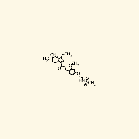 CCc1sc(C(=O)CCc2ccc(OCCNS(C)(=O)=O)cc2OC)c2c1CC(C)(C)CC2